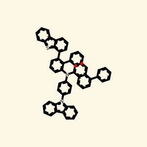 c1ccc(-c2c(-c3cccc4c3sc3ccccc34)cccc2N(c2ccc(-n3c4ccccc4c4ccccc43)cc2)c2cccc3c(-c4ccccc4)cccc23)cc1